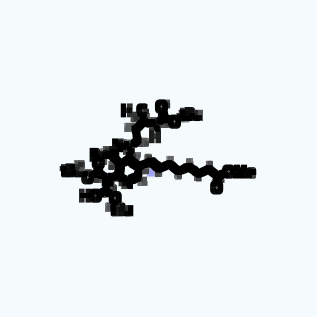 COC(=O)CCCCC/C=C/c1cnc(N(C(=O)OC(C)(C)C)C(O)OC(C)(C)C)c2c(Br)nn(CC[C@@H](C)NC(=O)OC(C)(C)C)c12